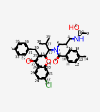 CB(O)NCCCN(C(=O)c1ccc(C)cc1)C(c1oc2cc(Cl)ccc2c(=O)c1Cc1ccccc1)C(C)C